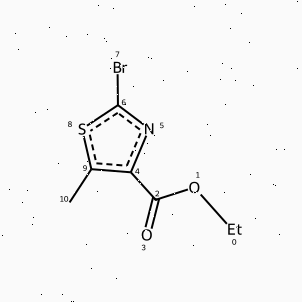 CCOC(=O)c1nc(Br)sc1C